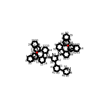 c1ccc(N(c2ccccc2)c2cccc3c2c2c(N(c4ccccc4)c4ccccc4)cccc2n3-c2cc(-c3cccc(-c4cccnc4)c3)cc(-n3c4cccc(N(c5ccccc5)c5ccccc5)c4c4c(N(c5ccccc5)c5ccccc5)cccc43)n2)cc1